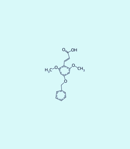 COc1cc(OCc2ccccc2)cc(OC)c1C=CC(=O)O